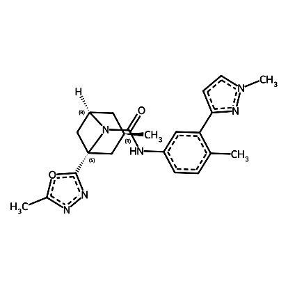 Cc1nnc([C@]23C[C@H](C)C[C@H](C2)N3C(=O)Nc2ccc(C)c(-c3ccn(C)n3)c2)o1